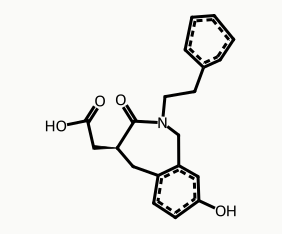 O=C(O)C[C@@H]1Cc2ccc(O)cc2CN(CCc2ccccc2)C1=O